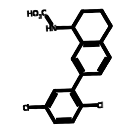 O=C(O)NC1CCCc2ccc(-c3cc(Cl)ccc3Cl)cc21